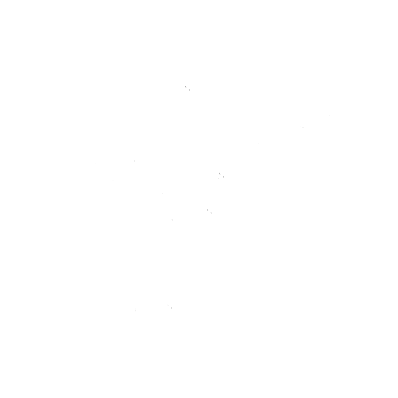 C=C(F)C(=O)N1CCN(c2nc(OC[C@@H]3CCCN3C)nc3c2CCC2(CCc4c(F)cc(F)cc42)C3)C[C@@H]1CC#N